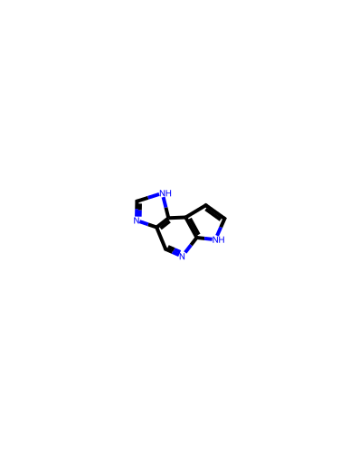 c1cc2c(ncc3nc[nH]c32)[nH]1